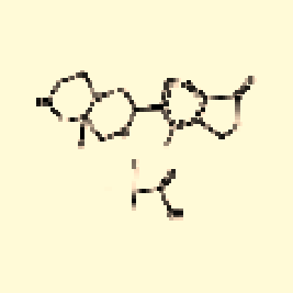 Cc1c([C@@H]2CN3CCNC[C@H]3CO2)ccc2c1COC2=O.O=C(O)C(F)(F)F